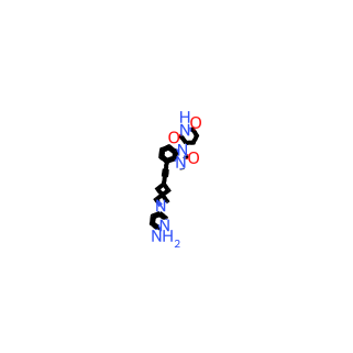 Cn1c(=O)n(C2CCC(=O)NC2=O)c2cccc(C#CC3CC4(C3)CN(c3ccc(N)nc3)C4)c21